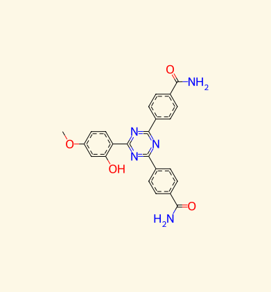 COc1ccc(-c2nc(-c3ccc(C(N)=O)cc3)nc(-c3ccc(C(N)=O)cc3)n2)c(O)c1